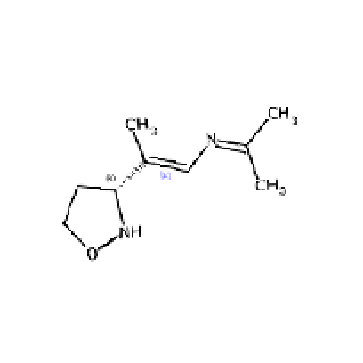 CC(C)=N/C=C(\C)[C@H]1CCON1